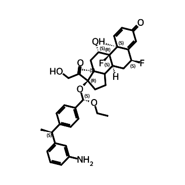 CCO[C@@H](O[C@]1(C(=O)CO)CCC2[C@@H]3C[C@H](F)C4=CC(=O)C=C[C@]4(C)[C@@]3(F)[C@@H](O)C[C@@]21C)c1ccc([C@H](C)c2cccc(N)c2)cc1